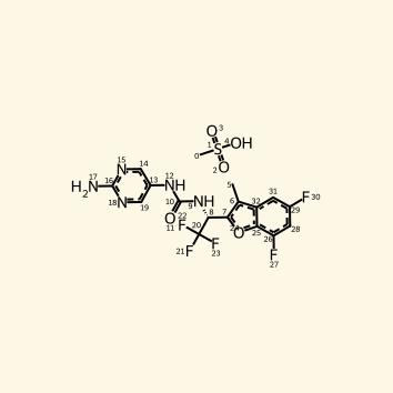 CS(=O)(=O)O.Cc1c([C@@H](NC(=O)Nc2cnc(N)nc2)C(F)(F)F)oc2c(F)cc(F)cc12